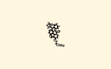 COCCOc1ccc(C(N)=O)c(-c2cc(C(c3ccccc3)C3CCCN3)ccc2Cl)c1F